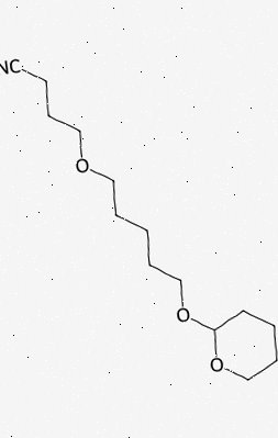 N#CCCCOCCCCCOC1CCCCO1